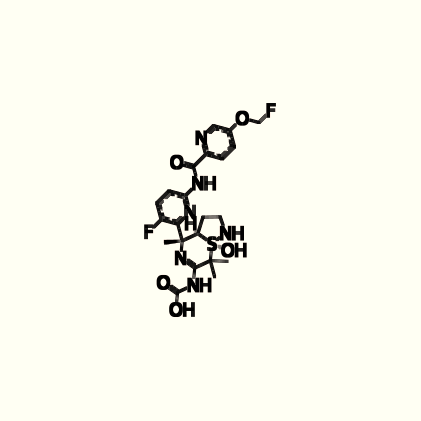 CC1(C)C(NC(=O)O)=N[C@](C)(c2nc(NC(=O)c3ccc(OCF)cn3)ccc2F)[C@H]2CCN[S@]21O